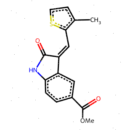 COC(=O)c1ccc2c(c1)C(=Cc1sccc1C)C(=O)N2